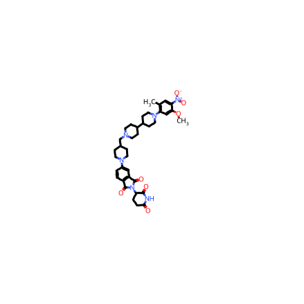 COc1cc(N2CCC(C3CCN(CC4CCN(c5ccc6c(c5)C(=O)N(C5CCC(=O)NC5=O)C6=O)CC4)CC3)CC2)c(C)cc1[N+](=O)[O-]